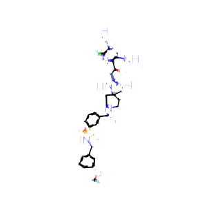 Nc1nc(N)c(C(=O)/C=C2\NCC3(CCN(C(=O)c4cccc(S(=O)(=O)NCc5cccc(OC(F)F)c5)c4)CC3)N2)nc1Cl